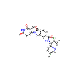 O=C1CC[C@H](N2Cc3cc(C(=O)N[C@H](c4ccc(F)cn4)C4(F)CC4)ccc3C2=O)C([SiH3])C(=O)N1